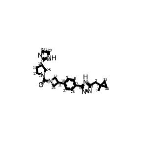 CC1(Cc2nnc(-c3ccc(C4CN(C(=O)N5CC[C@H](c6nnc[nH]6)C5)C4)cc3)[nH]2)CC1